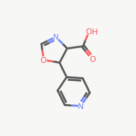 O=C(O)C1N=COC1c1ccncc1